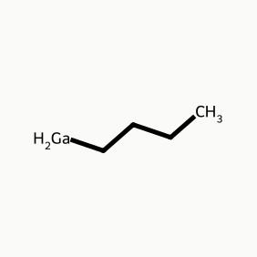 CCC[CH2][GaH2]